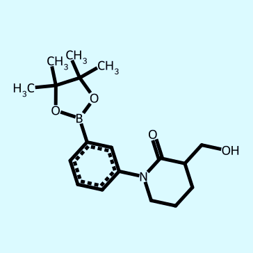 CC1(C)OB(c2cccc(N3CCCC(CO)C3=O)c2)OC1(C)C